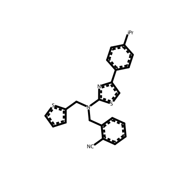 CC(C)c1ccc(-c2csc(N(Cc3cccs3)Cc3ccccc3C#N)n2)cc1